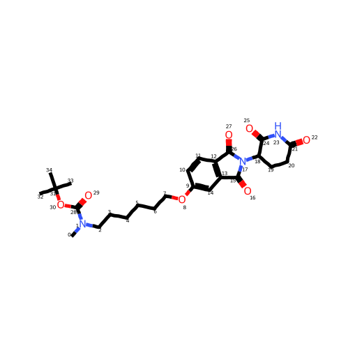 CN(CCCCCCOc1ccc2c(c1)C(=O)N(C1CCC(=O)NC1=O)C2=O)C(=O)OC(C)(C)C